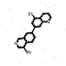 CCc1cc(-c2ccc3c(C(C)C)cncc3c2)cc2ncccc12